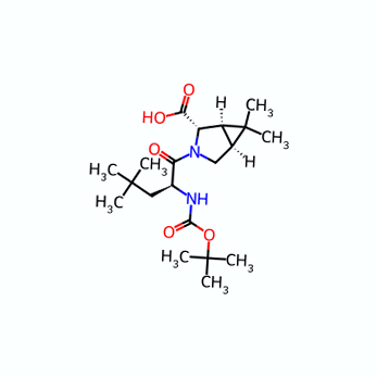 CC(C)(C)C[C@H](NC(=O)OC(C)(C)C)C(=O)N1C[C@H]2[C@@H]([C@H]1C(=O)O)C2(C)C